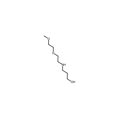 COCCOCCNCCCO